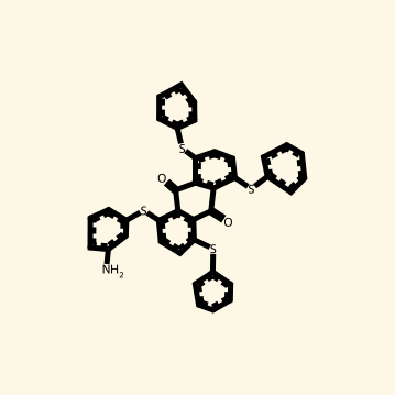 Nc1cccc(Sc2ccc(Sc3ccccc3)c3c2C(=O)c2c(Sc4ccccc4)ccc(Sc4ccccc4)c2C3=O)c1